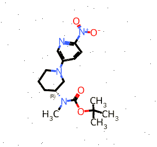 CN(C(=O)OC(C)(C)C)[C@@H]1CCCN(c2ccc([N+](=O)[O-])nc2)C1